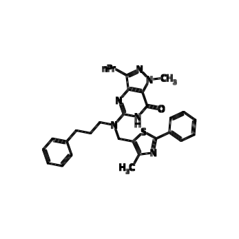 CCCc1nn(C)c2c(=O)[nH]c(N(CCCc3ccccc3)Cc3sc(-c4ccccc4)nc3C)nc12